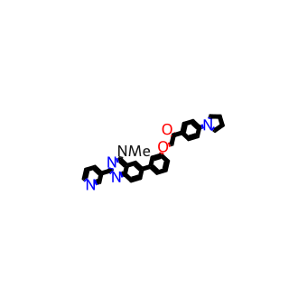 CNc1nc(-c2cccnc2)nc2ccc(-c3cccc(OCC(=O)c4ccc(N5CCCC5)cc4)c3)cc12